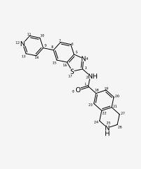 O=C(Nc1nc2ccc(-c3ccncc3)cc2s1)c1ccc2c(c1)CNCC2